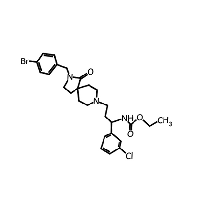 CCOC(=O)NC(CCN1CCC2(CC1)CCN(Cc1ccc(Br)cc1)C2=O)c1cccc(Cl)c1